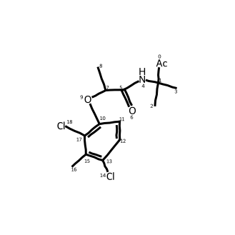 CC(=O)C(C)(C)NC(=O)C(C)Oc1ccc(Cl)c(C)c1Cl